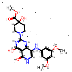 COC(=O)C1(O)CCN(c2nc(O)c3c(=O)[nH]cc(Nc4cc(OC)cc(OC)c4)c3n2)CC1